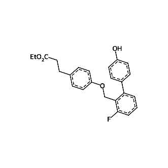 CCOC(=O)CCc1ccc(OCc2c(F)cccc2-c2ccc(O)cc2)cc1